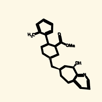 COC(=O)C1CN(C[C@@H]2CCc3cccnc3[C@@H](O)C2)CCC1c1ccccc1C